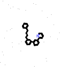 c1ccc(CCCCc2cccc(-c3cccc(-c4ccccn4)c3)c2)cc1